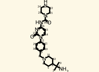 CC(C)(N)C1CCN(Cc2ccc(-n3ccc(NC(=O)N4CCNCC4)nc3=O)cc2)CC1